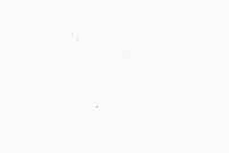 CC(=O)O.[K][c]1ccncc1